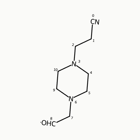 N#CCCN1CCN(C[C]=O)CC1